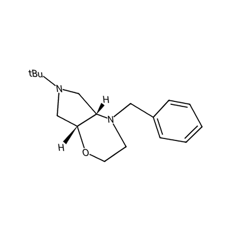 CC(C)(C)N1C[C@H]2OCCN(Cc3ccccc3)[C@H]2C1